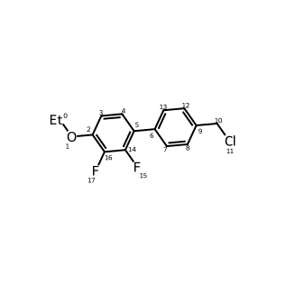 CCOc1ccc(-c2ccc(CCl)cc2)c(F)c1F